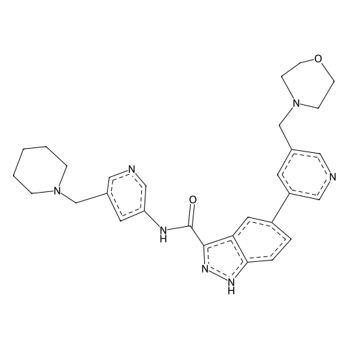 O=C(Nc1cncc(CN2CCCCC2)c1)c1n[nH]c2ccc(-c3cncc(CN4CCOCC4)c3)cc12